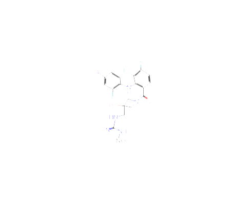 N=C(NCC1(O)CN(C(=O)c2ccc(F)c(F)c2Nc2ccc(I)cc2F)C1)NN=O